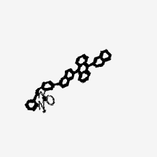 Cn1c(=O)n2c3cc(-c4ccc5cc(-c6c7ccccc7c(-c7ccc8ccccc8c7)c7ccccc67)ccc5c4)ccc3cc2c2ccccc21